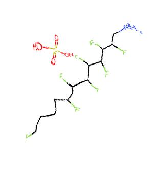 NCC(F)C(F)C(F)C(F)C(F)C(F)C(F)CCCCF.O=S(=O)(O)O